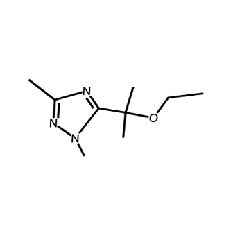 CCOC(C)(C)c1nc(C)nn1C